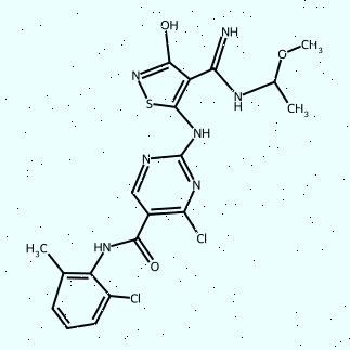 COC(C)NC(=N)c1c(O)nsc1Nc1ncc(C(=O)Nc2c(C)cccc2Cl)c(Cl)n1